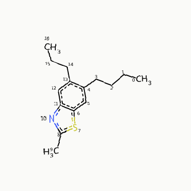 CCCCc1cc2sc(C)nc2cc1CCC